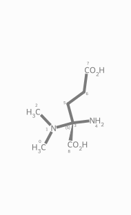 CN(C)[C@@](N)(CCC(=O)O)C(=O)O